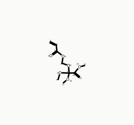 C=CC(=O)OCOC(OC)(OC)C(=C)OC